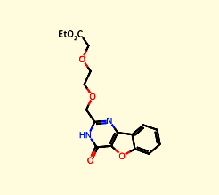 CCOC(=O)COCCOCc1nc2c(oc3ccccc32)c(=O)[nH]1